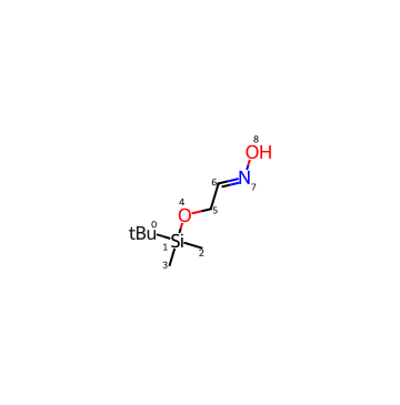 CC(C)(C)[Si](C)(C)OCC=NO